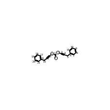 O=C(OC#CCc1ccccc1)OC#CCc1ccccc1